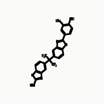 CC(C)(C)c1nc2cc(C(c3ccc4oc(-c5ccc(O)c(C(C)(C)C)c5)nc4c3)(C(F)(F)F)C(F)(F)F)ccc2o1